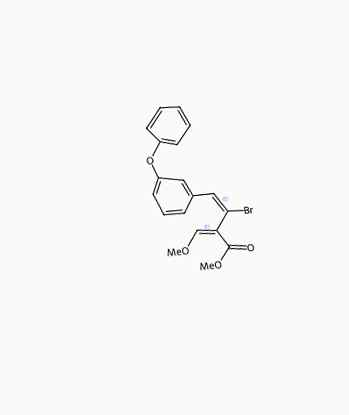 CO/C=C(C(=O)OC)/C(Br)=C\c1cccc(Oc2ccccc2)c1